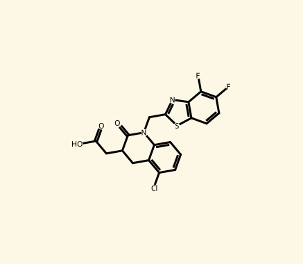 O=C(O)CC1Cc2c(Cl)cccc2N(Cc2nc3c(F)c(F)ccc3s2)C1=O